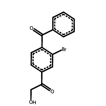 O=C(CO)c1ccc(C(=O)c2ccccc2)c(Br)c1